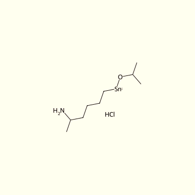 CC(N)CCC[CH2][Sn][O]C(C)C.Cl